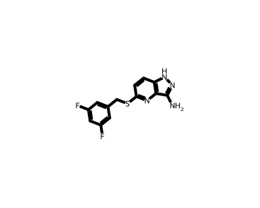 Nc1n[nH]c2ccc(SCc3cc(F)cc(F)c3)nc12